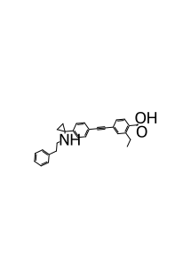 CCc1cc(C#Cc2ccc(C3(NCCc4ccccc4)CC3)cc2)ccc1C(=O)O